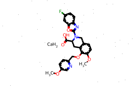 COc1ccc(COc2c(OC)ccc3c2CC(C(=O)O)N(c2nc4ccc(F)cc4o2)C3)nc1.[CaH2]